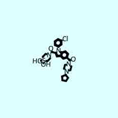 O=C(c1ccc2c(c1)cc(C(=O)N1CCS(O)(O)CC1)n2-c1cccc(Cl)c1)N1CCN(C2CCCC2)CC1